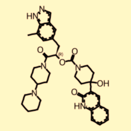 Cc1cc(C[C@@H](OC(=O)N2CCC(O)(c3cc4ccccc4[nH]c3=O)CC2)C(=O)N2CCC(N3CCCCC3)CC2)cc2cn[nH]c12